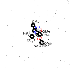 COC(=O)[C@H]1[C@H]2C[C@@H]3c4[nH]c5cc(OC)ccc5c4CCN3C[C@H]2C[C@@H](OC(=O)c2cc(OC)c(OC)c(OC)c2)[C@@H]1OC.O=C(O)c1ccc(C(=O)O)cc1